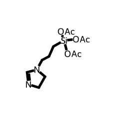 CC(=O)O[Si](CCCN1C=NCC1)(OC(C)=O)OC(C)=O